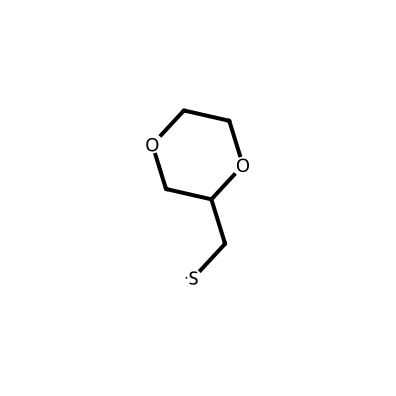 [S]CC1COCCO1